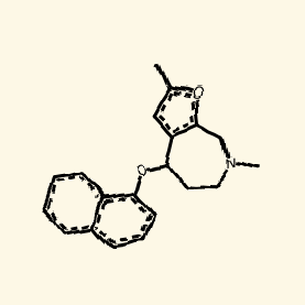 Cc1cc2c(o1)CN(C)CCC2Oc1cccc2ccccc12